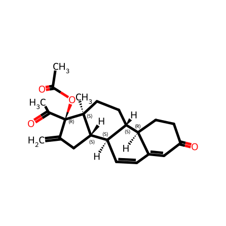 C=C1C[C@H]2[C@@H]3C=CC4=CC(=O)CC[C@@H]4[C@H]3CC[C@]2(C)[C@@]1(OC(C)=O)C(C)=O